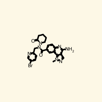 Cn1ncc2c(N)nc3ccc(C(=O)N(Cc4ccc(Br)cn4)N4CCCCC4=O)cc3c21